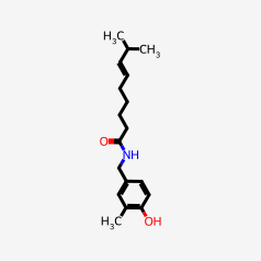 Cc1cc(CNC(=O)CCCC/C=C/C(C)C)ccc1O